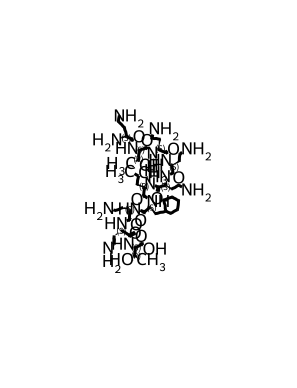 CC(C)C[C@@H](NC(=O)[C@H](CCN)NC(=O)[C@H](CCN)NC(=O)[C@H](CCN)NC(=O)[C@@H](NC(=O)[C@@H](N)CCN)[C@@H](C)O)C(=O)N[C@@H](CC1CCCCC1)C(=O)N[C@@H](CCN)C(=O)N[C@@H](CCN)C(=O)N[C@H](C(=O)O)[C@@H](C)O